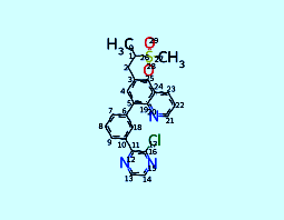 CC(Cc1cc(-c2cccc(-c3nccnc3Cl)c2)c2ncccc2c1)S(C)(=O)=O